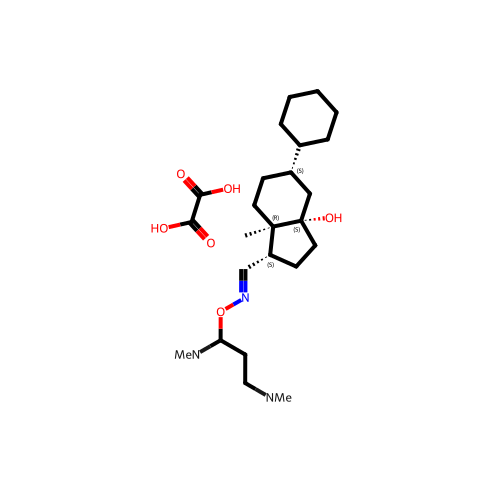 CNCCC(NC)ON=C[C@H]1CC[C@]2(O)C[C@@H](C3CCCCC3)CC[C@]12C.O=C(O)C(=O)O